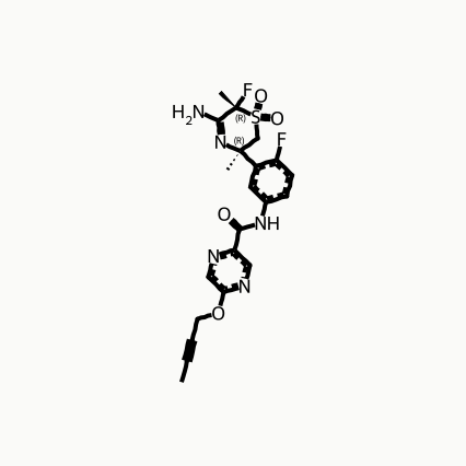 CC#CCOc1cnc(C(=O)Nc2ccc(F)c([C@]3(C)CS(=O)(=O)[C@@](C)(F)C(N)=N3)c2)cn1